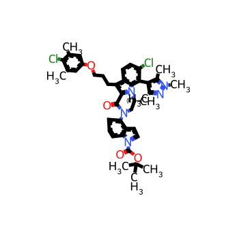 Cc1cc(OCCCc2c3n(c4c(-c5c(C)nn(C)c5C)c(Cl)ccc24)[C@H](C)CN(c2cccc4c2ccn4C(=O)OC(C)(C)C)C3=O)cc(C)c1Cl